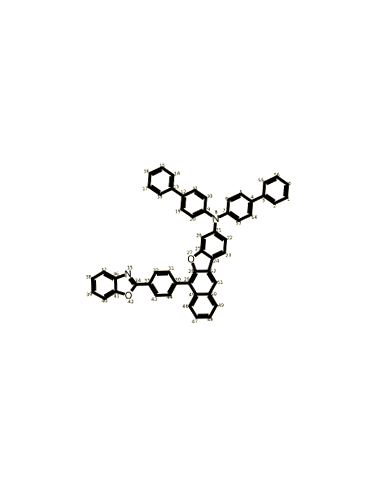 c1ccc(-c2ccc(N(c3ccc(-c4ccccc4)cc3)c3ccc4c(c3)oc3c(-c5ccc(-c6nc7ccccc7o6)cc5)c5ccccc5cc34)cc2)cc1